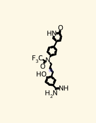 N=C(N)c1ccc(O)c(/C=C/CN(C(=O)C(F)(F)F)c2ccc(-c3ccc(=O)[nH]c3)cc2)c1